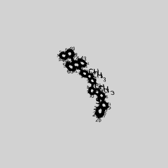 CC1(C)c2ccc(-c3cccc4c3C(C)(C)c3ccc5c(sc6c7ccccc7ccc56)c3-4)cc2-c2ccc(-c3c4ccccc4c(-c4cccc5ccccc45)c4ccccc34)cc21